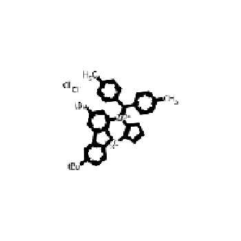 CC1=[C]([Zr+2](=[C](c2ccc(C)cc2)c2ccc(C)cc2)[c]2cc(C(C)(C)C)cc3c2Cc2ccc(C(C)(C)C)cc2-3)CC=C1.[Cl-].[Cl-]